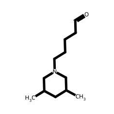 CC1CC(C)CN(CCCC[C]=O)C1